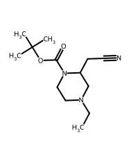 CCN1CCN(C(=O)OC(C)(C)C)C(CC#N)C1